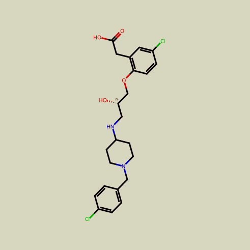 O=C(O)Cc1cc(Cl)ccc1OC[C@@H](O)CNC1CCN(Cc2ccc(Cl)cc2)CC1